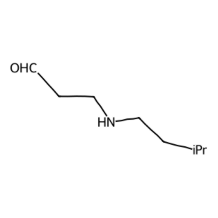 CC(C)CCNCCC=O